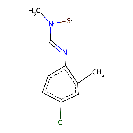 Cc1cc(Cl)ccc1/N=C/N(C)[S]